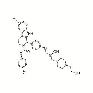 O=C(Oc1ccc(Cl)cc1)N1CCc2c([nH]c3ccc(Cl)cc23)C1c1ccc(OC[C@@H](O)CN2CCN(CCO)CC2)cc1